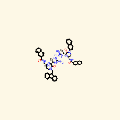 CCC(NC(=N)N)[C@@H]1N[C@H](CNC(=O)c2ccc3ccccc3c2)CCN(CC2c3ccccc3-c3ccccc32)C1=O.CCC(NC(=N)N)[C@@H]1N[C@H](CNC(=O)c2ccc3ccccc3c2)CCN(c2ccc3ccccc3c2)C1=O